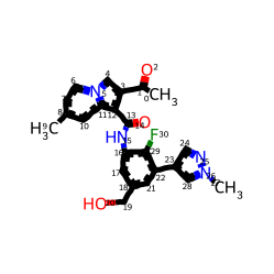 CC(=O)c1cn2ccc(C)cc2c1C(=O)Nc1cc(CO)cc(-c2cnn(C)c2)c1F